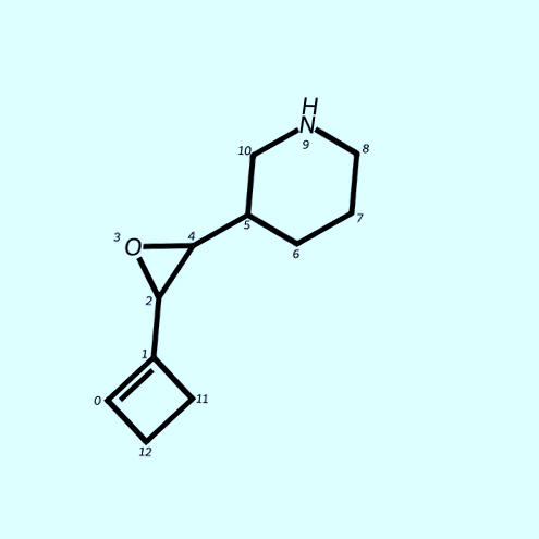 C1=C(C2OC2C2CCCNC2)CC1